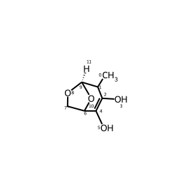 CC1C(O)=C(O)C2CO[C@@H]1O2